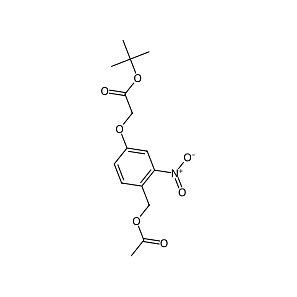 CC(=O)OCc1ccc(OCC(=O)OC(C)(C)C)cc1[N+](=O)[O-]